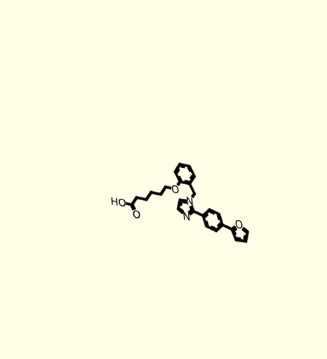 O=C(O)CCCCCOc1ccccc1Cn1ccnc1-c1ccc(-c2ccco2)cc1